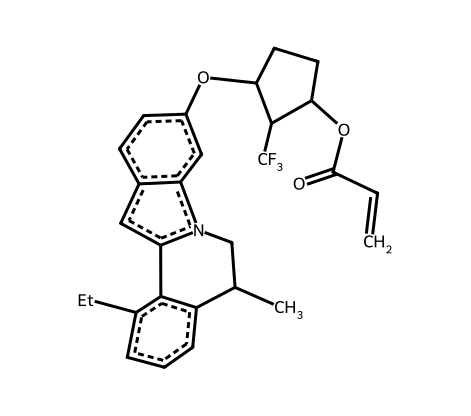 C=CC(=O)OC1CCC(Oc2ccc3cc4n(c3c2)CC(C)c2cccc(CC)c2-4)C1C(F)(F)F